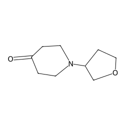 O=C1CCN(C2CCOC2)CC1